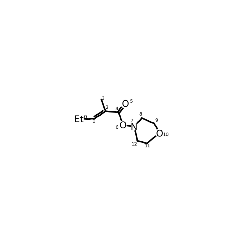 CCC=C(C)C(=O)ON1CCOCC1